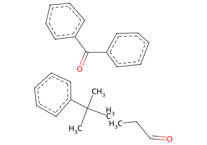 CC(C)(C)c1ccccc1.CCC=O.O=C(c1ccccc1)c1ccccc1